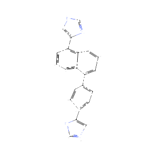 c1cc(-c2c[nH]cn2)c2cccc(-c3ccc(-c4cnc[nH]4)cc3)c2c1